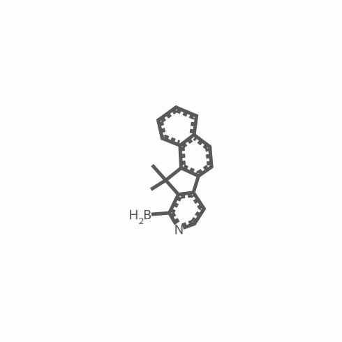 Bc1nccc2c1C(C)(C)c1c-2ccc2ccccc12